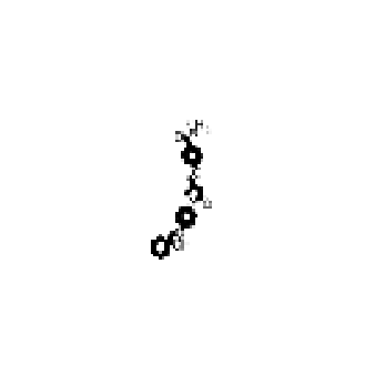 COC(=O)c1ccc(OCC2CC(=O)N(c3ccc(OCC4(O)CCCCC4)cc3)C2)cc1